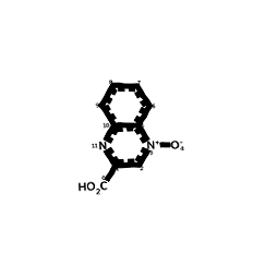 O=C(O)c1c[n+]([O-])c2ccccc2n1